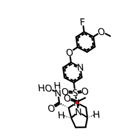 COc1ccc(Oc2ccc(S(=O)(=O)N3C[C@H]4CC[C@@H]([C@@H]3C(=O)NO)N4C(C)=O)cn2)cc1F